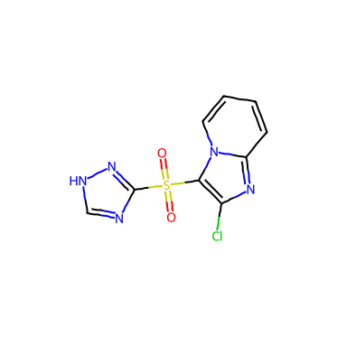 O=S(=O)(c1nc[nH]n1)c1c(Cl)nc2ccccn12